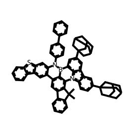 CC1(C)c2ccccc2-c2cc3c4c(c21)-n1c2ccc(C56CC7CC(CC(C7)C5)C6)cc2c2cc(C56CC7CC(CC(C7)C5)C6)cc(c21)B4N(c1ccc(-c2ccccc2)cc1)c1cc2sc4ccccc4c2cc1-3